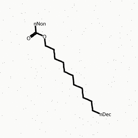 CCCCCCCCCCCCCCCCCCCCCOC(=O)CCCCCCCCC